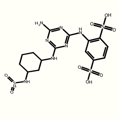 Nc1nc(Nc2cc(S(=O)(=O)O)ccc2S(=O)(=O)O)nc(NC2CCCC(N[SH](=O)=O)C2)n1